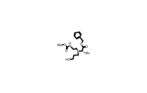 CCCC[C@@H](C(=O)OCc1ccccc1)N(CCCO)CCNC(=O)OC(C)(C)C